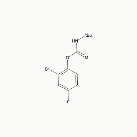 CC(C)(C)NC(=O)Oc1ccc(Cl)cc1Br